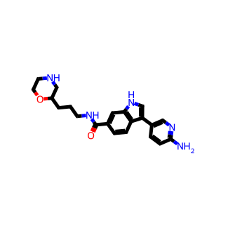 Nc1ccc(-c2c[nH]c3cc(C(=O)NCCCC4CNCCO4)ccc23)cn1